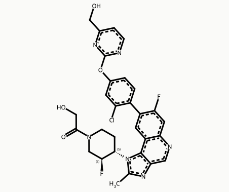 Cc1nc2cnc3cc(F)c(-c4ccc(Oc5nccc(CO)n5)cc4Cl)cc3c2n1[C@H]1CCN(C(=O)CO)C[C@@H]1F